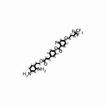 Nc1ccc(CCOC(=O)C=Cc2ccc(OC(=O)c3ccc(OCCCC(F)(F)C(F)(F)F)cc3F)cc2)c(N)c1